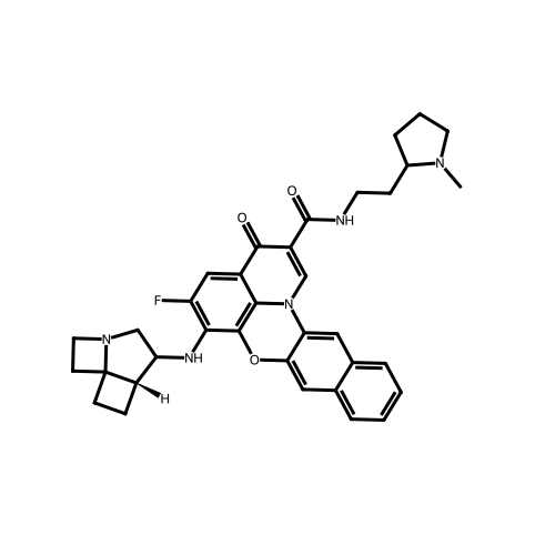 CN1CCCC1CCNC(=O)c1cn2c3c(c(NC4CN5CCC56CC[C@@H]46)c(F)cc3c1=O)Oc1cc3ccccc3cc1-2